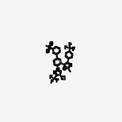 Cc1nc(-c2ccc(C(F)(F)F)cc2)c(-c2cc(-c3cccc(S(C)(=O)=O)c3)ccc2-n2cc(Cl)c(C(F)(F)F)n2)o1